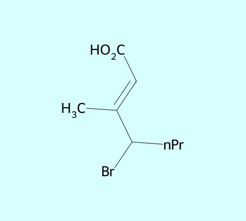 CCCC(Br)C(C)=CC(=O)O